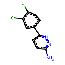 Nc1ccc(-c2ccc(Cl)c(Cl)c2)nn1